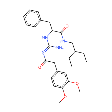 CCC(CC)CNC(=O)C(Cc1ccccc1)NC(N)=NC(=O)Cc1ccc(OC)c(OC)c1